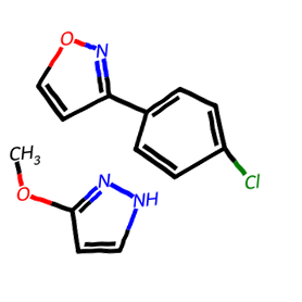 COc1cc[nH]n1.Clc1ccc(-c2ccon2)cc1